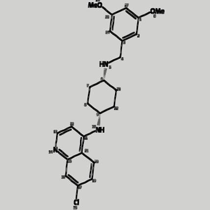 COc1cc(CN[C@H]2CC[C@@H](Nc3ccnc4cc(Cl)ccc34)CC2)cc(OC)c1